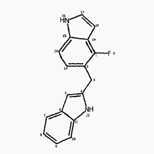 Fc1c(Cc2cc3ccccc3[nH]2)ccc2[nH]ccc12